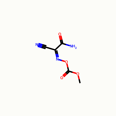 COC(=O)O/N=C(/C#N)C(N)=O